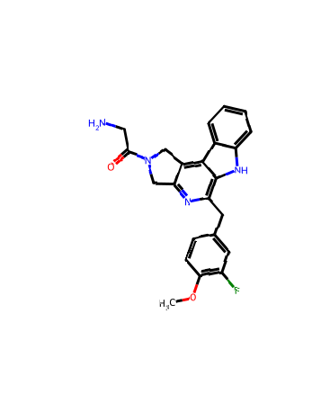 COc1ccc(Cc2nc3c(c4c2[nH]c2ccccc24)CN(C(=O)CN)C3)cc1F